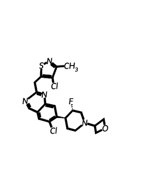 Cc1nsc(Cc2ncc3cc(Cl)c([C@@H]4CCN(C5COC5)C[C@H]4F)cc3n2)c1Cl